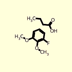 CCCC(=O)O.COc1cccc(F)c1OC